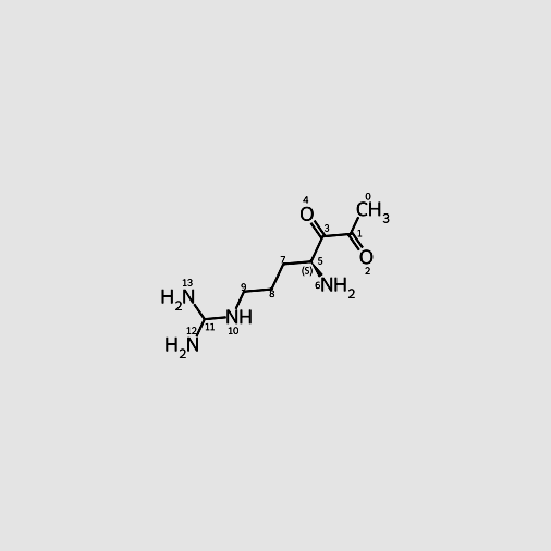 CC(=O)C(=O)[C@@H](N)CCCNC(N)N